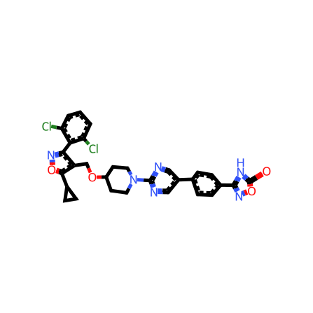 O=c1[nH]c(-c2ccc(-c3cnc(N4CCC(OCc5c(-c6c(Cl)cccc6Cl)noc5C5CC5)CC4)nc3)cc2)no1